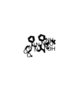 COC1CN(N(c2ccccc2)c2ncc(C(C)=NO)c(Nc3ccccc3NC(=O)OC(C)(C)C)n2)CCO1